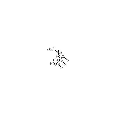 CC(=O)O.CC(=O)O.CC(=O)O.CCCCCCCCN